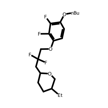 CCCCOc1ccc(OCC(F)(F)CC2CCC(CC)CO2)c(F)c1F